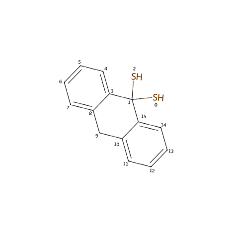 SC1(S)c2ccccc2Cc2ccccc21